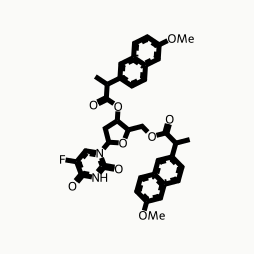 COc1ccc2cc(C(C)C(=O)OCC3OC(n4cc(F)c(=O)[nH]c4=O)CC3OC(=O)C(C)c3ccc4cc(OC)ccc4c3)ccc2c1